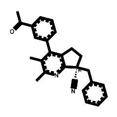 CC(=O)c1cccc(-c2c(C)c(C)nc3c2CC[C@@]3(C#N)Cc2ccccc2)c1